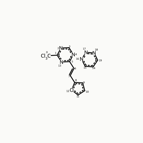 ClC(Cl)(Cl)c1ncnc(C=Cc2ccco2)n1.c1cnnnc1